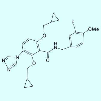 COc1ccc(CNC(=O)c2c(OCC3CC3)ccc(-n3cnnc3)c2OCC2CC2)cc1F